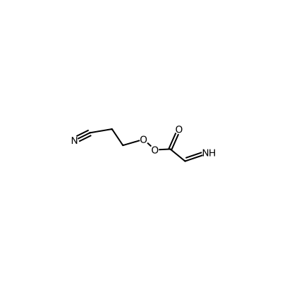 N#CCCOOC(=O)C=N